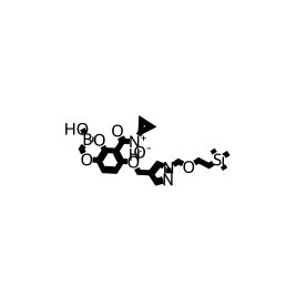 C[Si](C)(C)CCOCn1cc(COc2ccc3c(c2C(=O)[NH+]([O-])C2CC2)OB(O)CO3)cn1